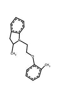 Cc1ccccc1OCCN1c2ccccc2CC1C